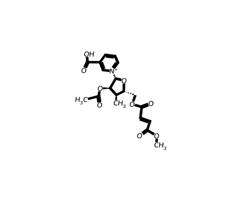 COC(=O)/C=C/C(=O)OC[C@H]1O[C@@H]([n+]2cccc(C(=O)O)c2)[C@H](OC(C)=O)[C@@H]1C